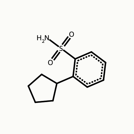 NS(=O)(=O)c1ccccc1C1CCCC1